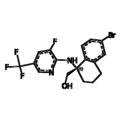 OC[C@]1(Nc2ncc(C(F)(F)F)cc2F)CCCc2cc(Br)ccc21